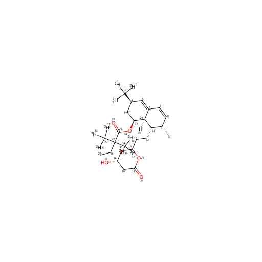 [2H]C([2H])([2H])[C@H]1C=C2C=C[C@H](C)[C@H](CCC3C[C@@H](O)CC(=O)O3)[C@H]2[C@@H](OC(=O)C(CC)(C([2H])([2H])[2H])C([2H])([2H])[2H])C1